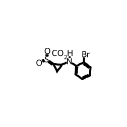 O=C(O)N(c1ccccc1Br)C1CC1=S(=O)=O